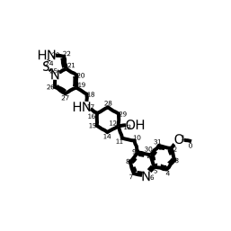 COc1ccc2nccc(CCC3(O)CCC(NCC4=CC5=CNSN5C=C4)CC3)c2c1